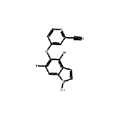 N#Cc1cc(Oc2c(F)cc3c(ccn3O)c2Br)ccn1